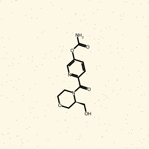 NC(=O)Oc1ccc(C(=O)N2CCOC[C@@H]2CO)nc1